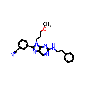 COCCCn1c(-c2cccc(C#N)c2)nc2cnc(NCCc3ccccc3)nc21